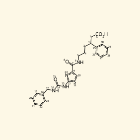 O=C(O)CC(CCCNC(=O)c1csc(NC(=O)NCc2ccccc2)n1)c1ccccc1